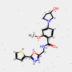 COc1cc(N2CCC(O)C2)ccc1C(=O)NCc1nnc(-c2cccs2)o1